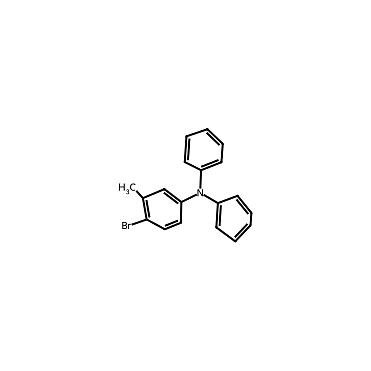 Cc1cc(N(c2ccccc2)c2ccccc2)ccc1Br